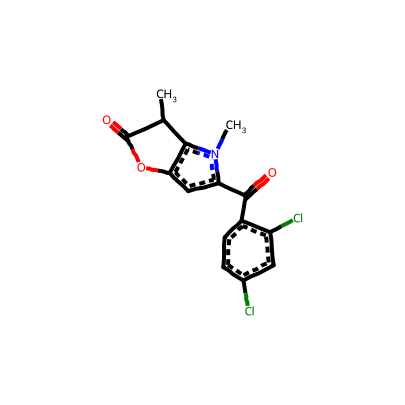 CC1C(=O)Oc2cc(C(=O)c3ccc(Cl)cc3Cl)n(C)c21